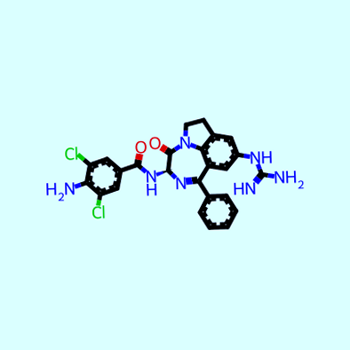 N=C(N)Nc1cc2c3c(c1)C(c1ccccc1)=N[C@@H](NC(=O)c1cc(Cl)c(N)c(Cl)c1)C(=O)N3CC2